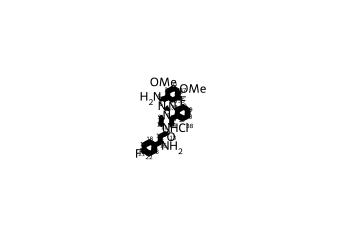 COc1cc2c(N)nc(N3CCN(C(=O)CC(N)c4ccc(F)cc4)CC3c3ccccc3)nc2c(F)c1OC.Cl